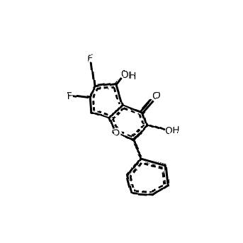 O=c1c(O)c(-c2ccccc2)oc2cc(F)c(F)c(O)c12